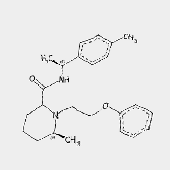 Cc1ccc([C@H](C)NC(=O)C2CCC[C@H](C)N2CCOc2ccccc2)cc1